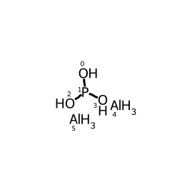 OP(O)O.[AlH3].[AlH3]